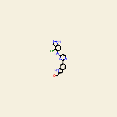 O=Cc1cc2ccc(-c3nccc(Nc4ccc5[nH]ncc5c4Cl)n3)cc2[nH]1